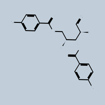 N=C[C@@H](F)[C@H](OC(=O)c1ccc([N+](=O)[O-])cc1)[C@@H](Br)COC(=O)c1ccc([N+](=O)[O-])cc1